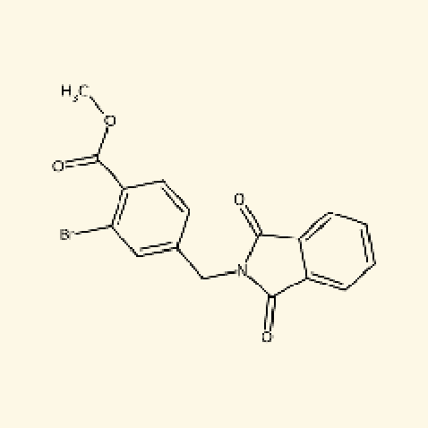 COC(=O)c1ccc(CN2C(=O)c3ccccc3C2=O)cc1Br